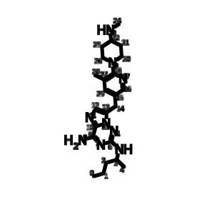 CCCC(C)Nc1nc(N)c2ncc(Cc3cnc(N4CCC(NC)CC4)c(C)c3)n2n1